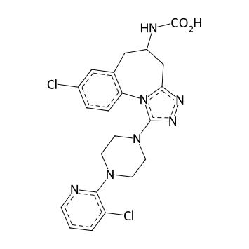 O=C(O)NC1Cc2cc(Cl)ccc2-n2c(nnc2N2CCN(c3ncccc3Cl)CC2)C1